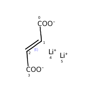 O=C([O-])/C=C/C(=O)[O-].[Li+].[Li+]